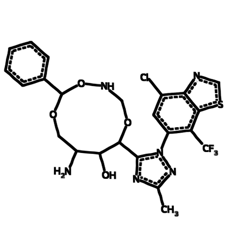 Cc1nc(C2OCNOC(c3ccccc3)OCC(N)C2O)n(-c2cc(Cl)c3ncsc3c2C(F)(F)F)n1